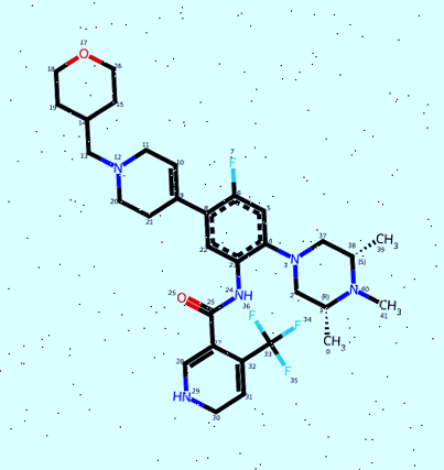 C[C@@H]1CN(c2cc(F)c(C3=CCN(CC4CCOCC4)CC3)cc2NC(=O)C2=CNCC=C2C(F)(F)F)C[C@H](C)N1C